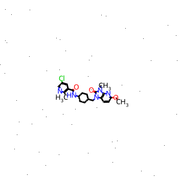 COc1ccc2c(n1)n(C)c(=O)n2CC1CCC(NC(=O)c2cc(Cl)cnc2C)CC1